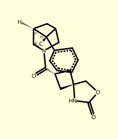 C[C@]1(c2ccccc2)C2C[C@@H]1CN(C(=O)[C@H]1C[C@]3(COC(=O)N3)C1)C2